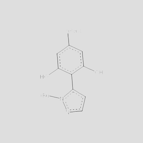 CCCCCc1cc(O)c(-c2ccnn2C(C)(C)C)c(O)c1